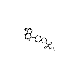 NS(=O)(=O)N1CCC2(CCN(c3ncnc4[nH]ccc34)CC2)C1